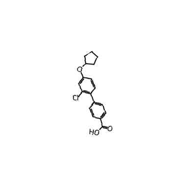 O=C(O)c1ccc(-c2ccc(OC3CCCC3)cc2Cl)cc1